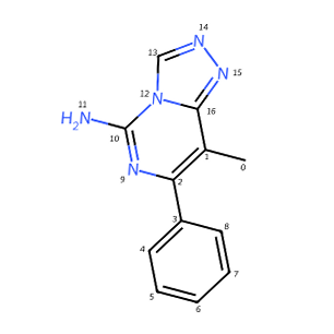 Cc1c(-c2ccccc2)nc(N)n2cnnc12